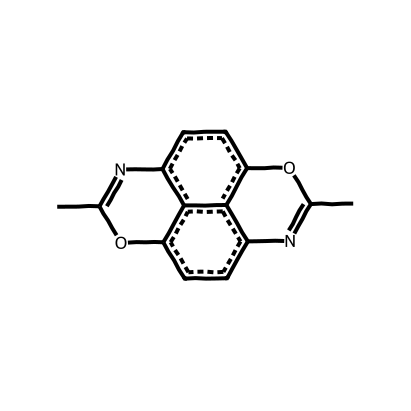 CC1=Nc2ccc3c4c(ccc(c24)O1)N=C(C)O3